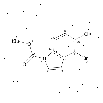 CC(C)(C)OC(=O)n1ccc2c(Br)c(Cl)ccc21